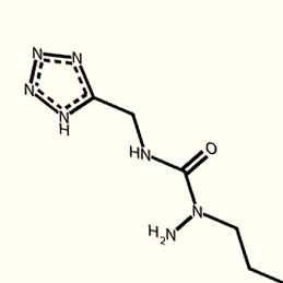 CCCN(N)C(=O)NCc1nnn[nH]1